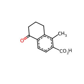 Cc1c(C(=O)O)ccc2c1CCCC2=O